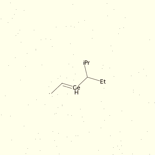 [CH2][CH]=[GeH][CH](CC)C(C)C